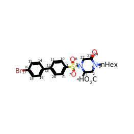 CCCCCCN1CC(C(=O)O)N(S(=O)(=O)c2ccc(-c3ccc(Br)cc3)cc2)CC1=O